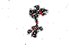 Cc1cc2c3c(c1)N(c1ccc4c(c1)C(C)(C)CCC4(C)C)c1c(oc4cc5c(cc14)C(C)(C)CCC5(C)C)B3c1cc3c(cc1N2c1ccc(C(C)(C)CCC2(C)CCC(C)(C)c4cc(N5c6cc(C)cc7c6B(c6cc8c(cc6N7c6ccc(C(C)(C)C)cc6-c6c(C)cccc6C)C(C)(C)CCC8(C)C)c6oc7cc8c(cc7c65)C(C)(C)CCC8(C)C)ccc42)cc1-c1ccccc1C)C(C)(C)CCC3(C)C